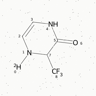 [2H]N1C=CNC(=O)C1C(F)(F)F